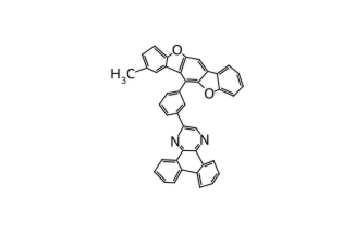 Cc1ccc2oc3cc4c(oc5ccccc54)c(-c4cccc(-c5cnc6c7ccccc7c7ccccc7c6n5)c4)c3c2c1